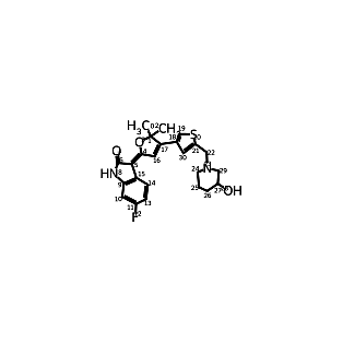 CC1(C)OC(=C2C(=O)Nc3cc(F)ccc32)C=C1c1csc(CN2CCCC(O)C2)c1